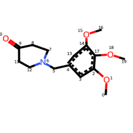 COc1cc(CN2CCC(=O)CC2)cc(OC)c1OC